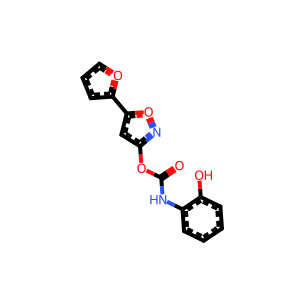 O=C(Nc1ccccc1O)Oc1cc(-c2ccco2)on1